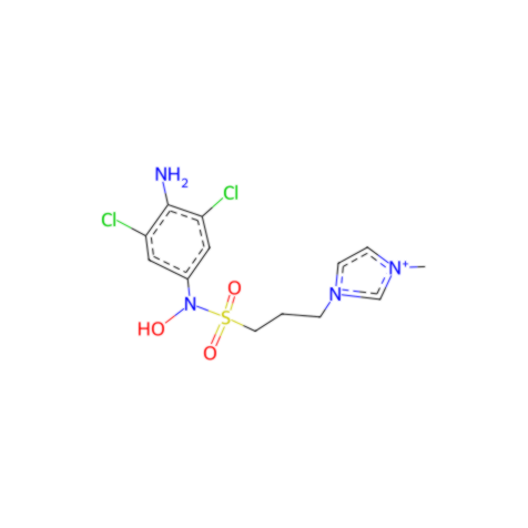 C[n+]1ccn(CCCS(=O)(=O)N(O)c2cc(Cl)c(N)c(Cl)c2)c1